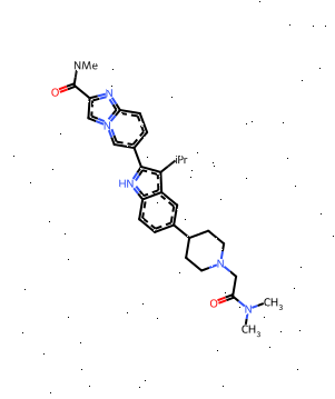 CNC(=O)c1cn2cc(-c3[nH]c4ccc(C5CCN(CC(=O)N(C)C)CC5)cc4c3C(C)C)ccc2n1